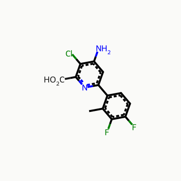 Cc1c(-c2cc(N)c(Cl)c(C(=O)O)n2)ccc(F)c1F